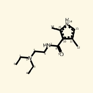 CCN(CC)CCNC(=O)c1c(C)c[nH]c1C